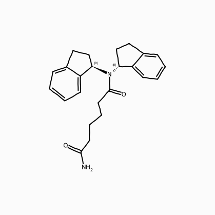 NC(=O)CCCCC(=O)N([C@@H]1CCc2ccccc21)[C@@H]1CCc2ccccc21